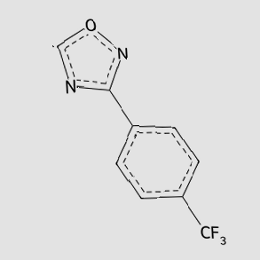 FC(F)(F)c1ccc(-c2n[c]on2)cc1